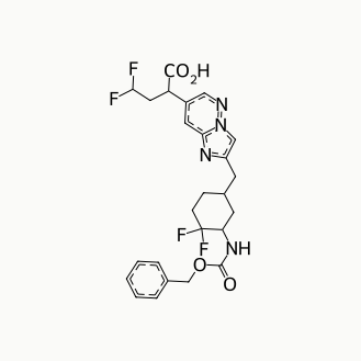 O=C(NC1CC(Cc2cn3ncc(C(CC(F)F)C(=O)O)cc3n2)CCC1(F)F)OCc1ccccc1